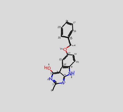 Cc1nc(O)c2c(n1)[nH]c1ccc(OCc3ccccc3)cc12